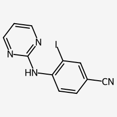 N#Cc1ccc(Nc2ncccn2)c(I)c1